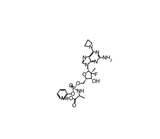 COC(=O)C(C)NP(=O)(OC[C@H]1O[C@@H](n2cnc3c(N4CCC4)nc(N)nc32)[C@](C)(F)[C@@H]1O)Oc1ccccc1